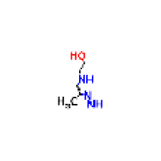 C/C(=C/NCCO)N=N